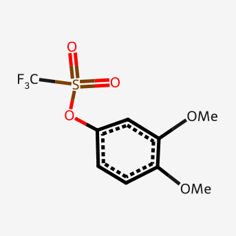 COc1ccc(OS(=O)(=O)C(F)(F)F)cc1OC